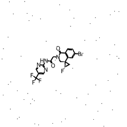 O=C(CN1C[C@]2(C[C@@H]2F)c2cc(Br)ccc2C1=O)Nc1ncc(C(F)(F)F)cn1